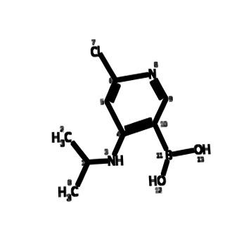 CC(C)Nc1cc(Cl)ncc1B(O)O